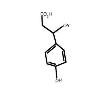 CCCC(CC(=O)O)c1ccc(O)cc1